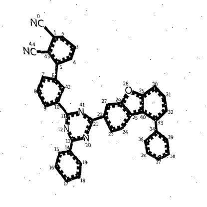 N#Cc1cccc(-c2cccc(-c3nc(-c4ccccc4)nc(-c4ccc5c(c4)oc4cccc(-c6ccccc6)c45)n3)c2)c1C#N